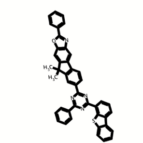 CC1(C)c2cc(-c3nc(-c4ccccc4)nc(-c4cccc5c4sc4ccccc45)n3)ccc2-c2cc3nc(-c4ccccc4)oc3cc21